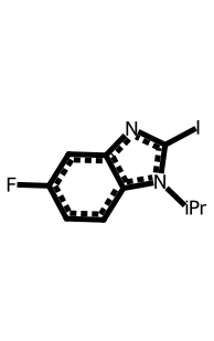 CC(C)n1c(I)nc2cc(F)ccc21